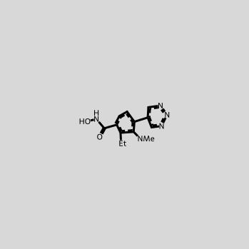 CCc1c(C(=O)NO)ccc(-c2cnnnc2)c1NC